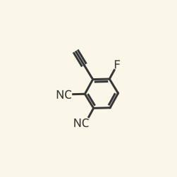 C#Cc1c(F)ccc(C#N)c1C#N